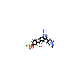 CCN1CC=C(c2c[nH]c3ccc(C(=O)c4cccc(OC(F)(F)F)c4)cc23)CC1